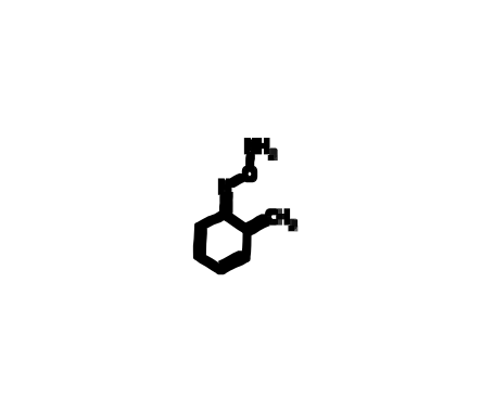 C=C1C=CC=C/C1=N/ON